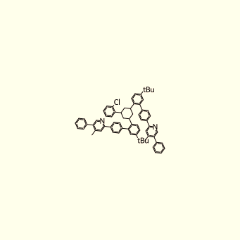 Cc1cc(-c2ccc(-c3cc(C(C)(C)C)ccc3C3CC(c4ccccc4Cl)CC(c4ccc(C(C)(C)C)cc4-c4ccc(-c5cc(C)c(-c6ccccc6)cn5)cc4)C3)cc2)ncc1-c1ccccc1